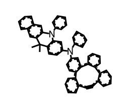 CC1(C)c2ccc(N(c3ccccc3)c3ccc4c5ccccc5c#cc5ccccc5c5ccccc5c4c3)cc2N(c2ccccc2)c2cc3ccccc3cc21